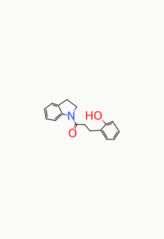 O=C(CCc1ccccc1O)N1CCc2ccccc21